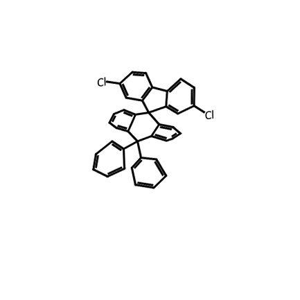 Clc1ccc2c(c1)C1(c3cc(Cl)ccc3-2)c2ccccc2C(c2ccccc2)(c2ccccc2)c2ccccc21